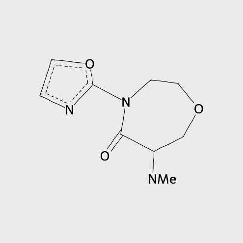 CNC1COCCN(c2ncco2)C1=O